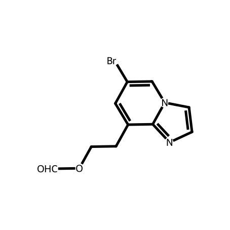 O=COCCc1cc(Br)cn2ccnc12